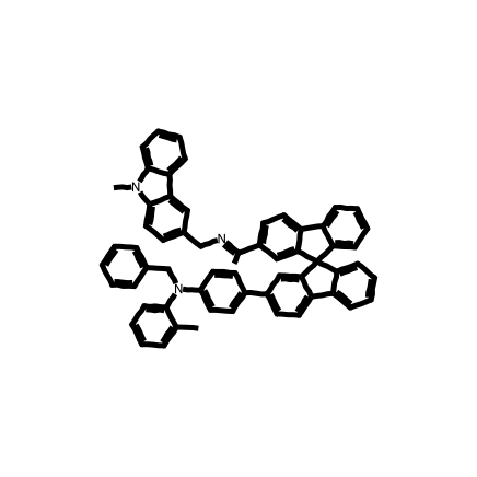 C/C(=N\Cc1ccc2c(c1)c1ccccc1n2C)c1ccc2c(c1)C1(c3ccccc3-2)c2ccccc2-c2ccc(-c3ccc(N(Cc4ccccc4)c4ccccc4C)cc3)cc21